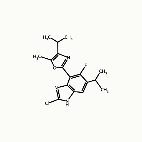 Cc1oc(-c2c(F)c(C(C)C)cc3[nH]c(Cl)nc23)nc1C(C)C